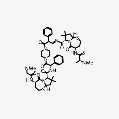 CNCC(=S)N[C@H]1CCS[C@H]2CC(C)(C)[C@@H](C(=O)N[C@H](C(=O)N3CCN(C(=O)C(/C=N/C(=O)[C@H]4N5C(=O)[C@@H](NC(=S)[C@H](C)NC)CCS[C@H]5CC4(C)C)c4ccccc4)CC3)c3ccccc3)N2C1=O